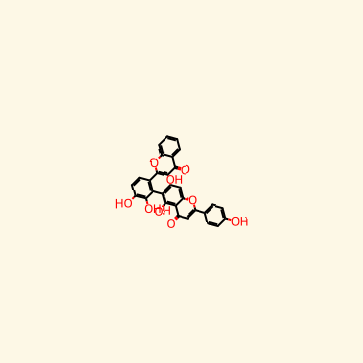 O=c1cc(-c2ccc(O)c(O)c2-c2c(O)cc3oc(-c4ccc(O)cc4)cc(=O)c3c2O)oc2ccccc12